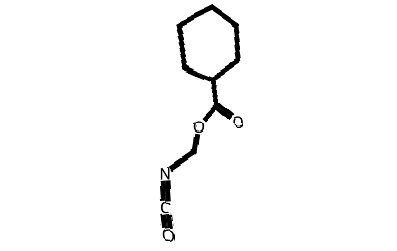 O=C=NCOC(=O)C1CCCCC1